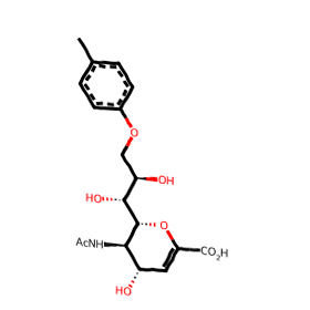 CC(=O)N[C@H]1[C@H]([C@H](O)[C@H](O)COc2ccc(C)cc2)OC(C(=O)O)=C[C@@H]1O